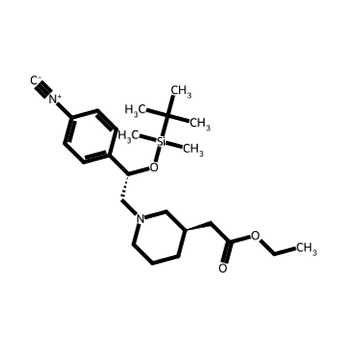 [C-]#[N+]c1ccc([C@@H](CN2CCC[C@H](CC(=O)OCC)C2)O[Si](C)(C)C(C)(C)C)cc1